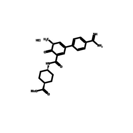 COC(=O)[C@H]1CC[C@H](NC(=O)c2cc(-c3ccc(C(=N)N)cc3)cn(C)c2=O)CC1.Cl